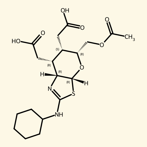 CC(=O)OC[C@@H]1O[C@@H]2SC(NC3CCCCC3)=N[C@@H]2[C@H](CC(=O)O)[C@@H]1CC(=O)O